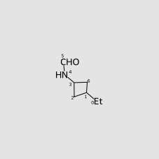 CCC1CC(NC=O)C1